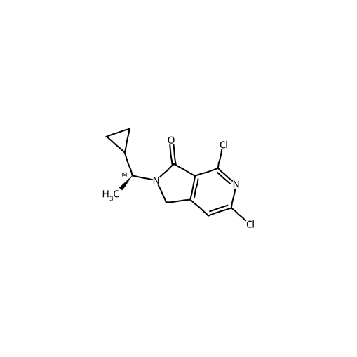 C[C@@H](C1CC1)N1Cc2cc(Cl)nc(Cl)c2C1=O